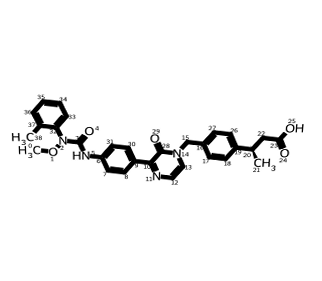 CON(C(=O)Nc1ccc(-c2nccn(Cc3ccc([C@H](C)CC(=O)O)cc3)c2=O)cc1)c1ccccc1C